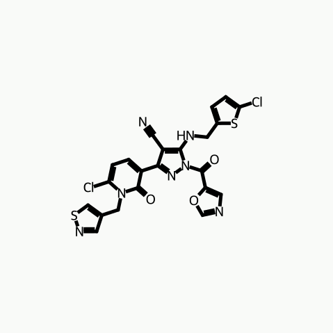 N#Cc1c(-c2ccc(Cl)n(Cc3cnsc3)c2=O)nn(C(=O)c2cnco2)c1NCc1ccc(Cl)s1